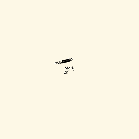 [MgH2].[O]=[GaH].[Zn]